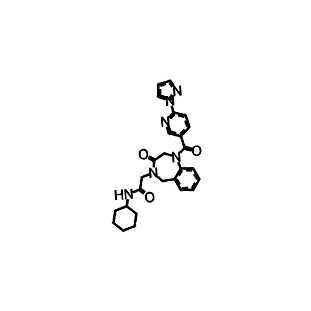 O=C(CN1Cc2ccccc2N(C(=O)c2ccc(-n3cccn3)nc2)CC1=O)NC1CCCCC1